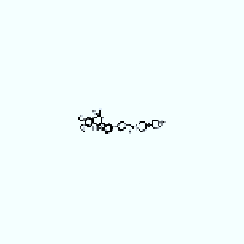 COc1ccc(-c2[nH]c3ccc(C4CCN(CC(=O)N5CCC(N6CCN(C)CC6)CC5)CC4)cc3c2CC(F)(F)F)cc1OC